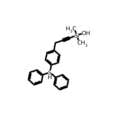 C[Si](C)(O)C#CCc1ccc([SH](c2ccccc2)c2ccccc2)cc1